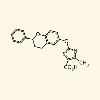 Cc1nc(Oc2ccc3c(c2)CC[C@@H](c2ccccc2)O3)sc1C(=O)O